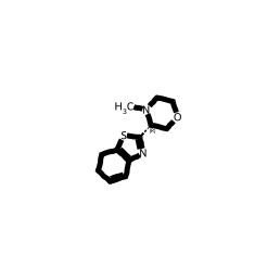 CN1CCOC[C@@H]1c1nc2c(s1)CCC=C2